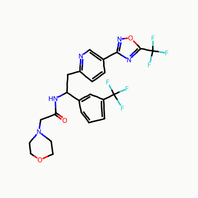 O=C(CN1CCOCC1)NC(Cc1ccc(-c2noc(C(F)(F)F)n2)cn1)c1cccc(C(F)(F)F)c1